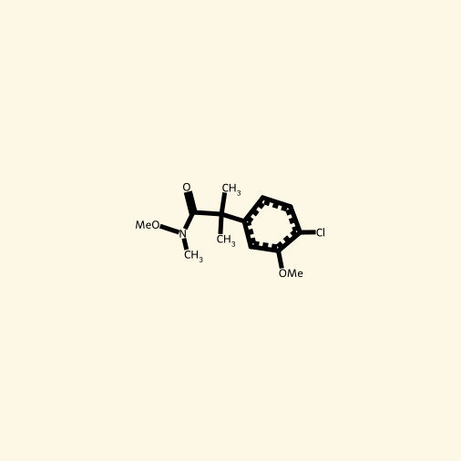 COc1cc(C(C)(C)C(=O)N(C)OC)ccc1Cl